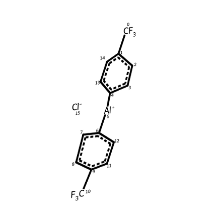 FC(F)(F)c1cc[c]([Al+][c]2ccc(C(F)(F)F)cc2)cc1.[Cl-]